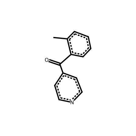 Cc1ccccc1C(=O)c1ccncc1